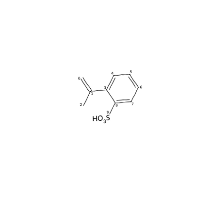 C=C(C)c1ccccc1S(=O)(=O)O